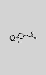 Cl.O=C(O)CCC1CCN(c2ccncn2)CC1